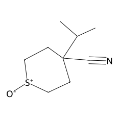 CC(C)C1(C#N)CC[S+]([O-])CC1